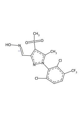 Cc1c(S(C)(=O)=O)c(/C=N/O)nn1-c1c(Cl)ccc(C(F)(F)F)c1Cl